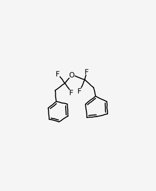 FC(F)(Cc1ccccc1)OC(F)(F)Cc1ccccc1